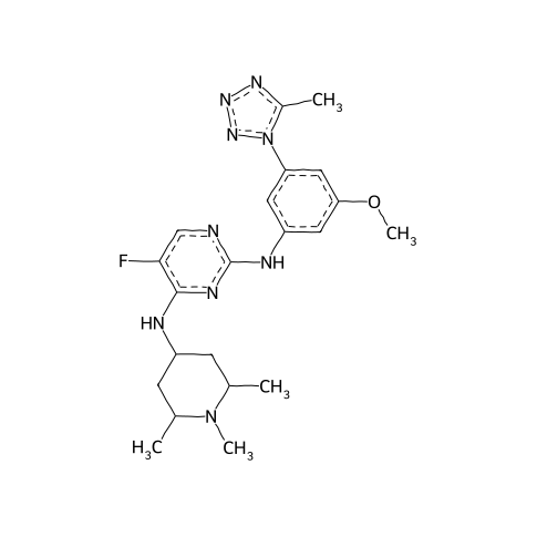 COc1cc(Nc2ncc(F)c(NC3CC(C)N(C)C(C)C3)n2)cc(-n2nnnc2C)c1